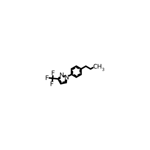 CCCc1ccc(-n2ccc(C(F)(F)F)n2)cc1